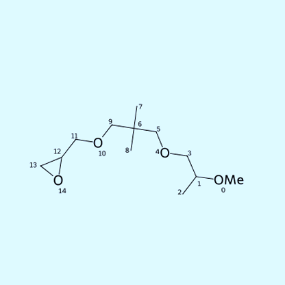 COC(C)COCC(C)(C)COCC1CO1